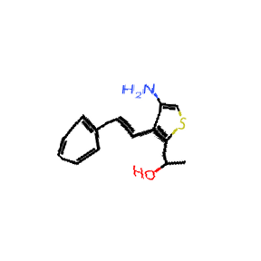 CC(O)c1scc(N)c1C=Cc1ccccc1